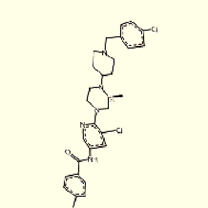 C[C@H]1CN(c2ncc(NC(=O)c3ccc(Cl)cc3)cc2Cl)CCN1C1CCN(Cc2ccc(Cl)cc2)CC1